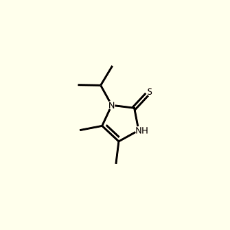 Cc1[nH]c(=S)n(C(C)C)c1C